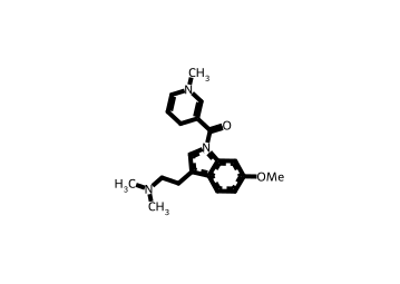 COc1ccc2c(CCN(C)C)cn(C(=O)C3=CN(C)C=CC3)c2c1